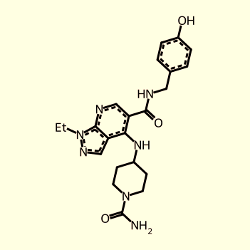 CCn1ncc2c(NC3CCN(C(N)=O)CC3)c(C(=O)NCc3ccc(O)cc3)cnc21